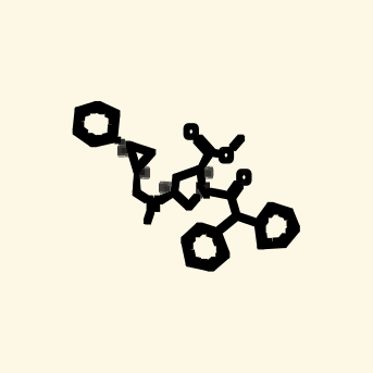 COC(=O)[C@@H]1C[C@H](N(C)C[C@@H]2C[C@H]2c2ccccc2)CN1C(=O)C(c1ccccc1)c1ccccc1